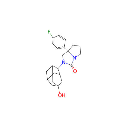 O=C1N(C2C3CC4CC2CC(O)(C4)C3)C[C@@]2(c3ccc(F)cc3)CCCN12